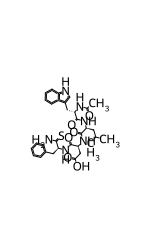 CC(=O)N[C@@H](Cc1c[nH]c2ccccc12)C(=O)N[C@@H](CC(C)C)C(=O)N[C@@H](CC(=O)O)C(=O)N[C@@H](Cc1ccccc1)C(N)=S